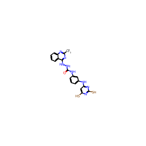 O=C(NNc1nc(C(F)(F)F)nc2ccccc12)Nc1cccc(Nc2cc(S)nc(S)n2)c1